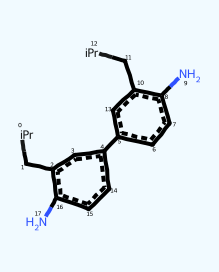 CC(C)Cc1cc(-c2ccc(N)c(CC(C)C)c2)ccc1N